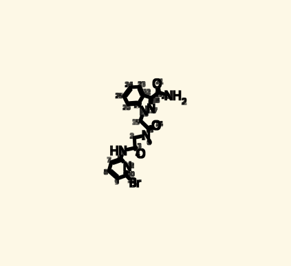 CN(CC(=O)Nc1cccc(Br)n1)C(=O)Cn1nc(C(N)=O)c2ccccc21